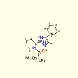 CCC(OC)C(=O)N1CCCCC1c1nc(-c2ccccc2)c[nH]1